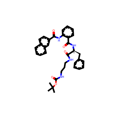 CC(C)(C)OC(=O)NCCCNC(=O)[C@H](Cc1ccccc1)NC(=O)c1ccccc1NC(=O)c1ccc2ccccc2c1